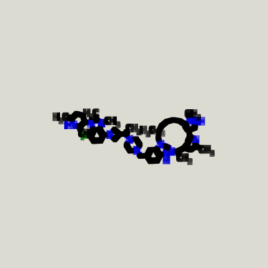 C=C1CCC(N2C(=C)N(C)c3c(N4CC(C(=C)N5CCN(Cc6ccc7c(c6)N6C[C@H](C)CCCC/C(NC)=C(/C=N)c8cc(cc(C)n8)C(=C)/N=C/6N7)CC5)C4)ccc(F)c32)C(=C)N1